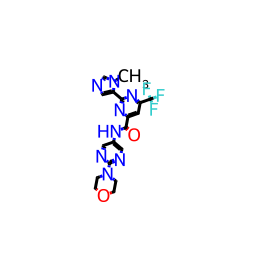 Cn1cncc1-c1nc(C(=O)Nc2cnc(N3CCOCC3)nc2)cc(C(F)(F)F)n1